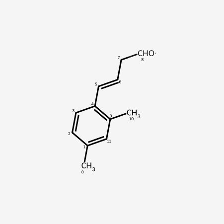 Cc1ccc(C=CC[C]=O)c(C)c1